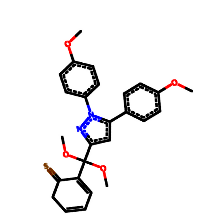 COc1ccc(-c2cc(C(OC)(OC)C3=CC=CCC3=S)nn2-c2ccc(OC)cc2)cc1